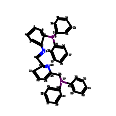 C(=Nc1ccccc1P(c1ccccc1)c1ccccc1)c1cccc(CP(c2ccccc2)c2ccccc2)n1